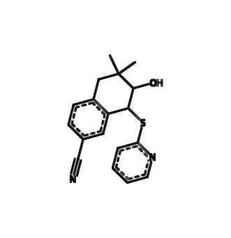 CC1(C)Cc2ccc(C#N)cc2C(Sc2ccccn2)C1O